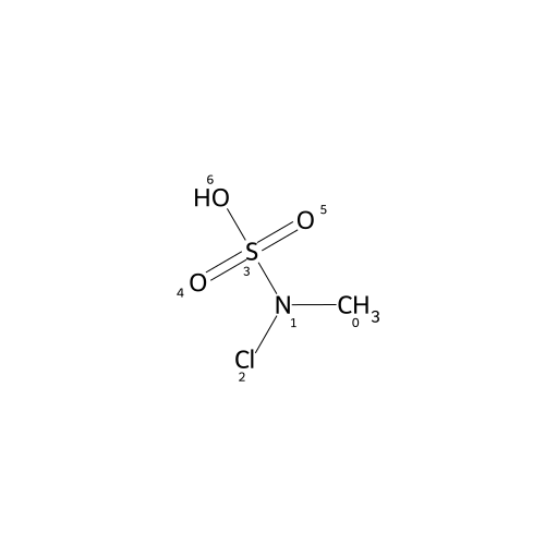 CN(Cl)S(=O)(=O)O